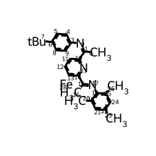 CC(=Nc1ccc(C(C)(C)C)cc1)c1cccc(C(C)=Nc2c(C)cc(C)cc2C)n1.[Fe]